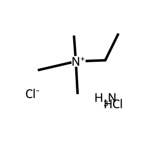 CC[N+](C)(C)C.Cl.N.[Cl-]